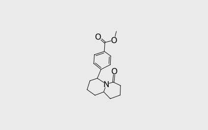 COC(=O)c1ccc(C2CCCC3CCCC(=O)N32)cc1